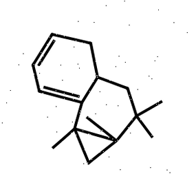 CC1(C)CC2CC=CC=C2C2(C)CC12C